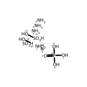 N.N.N.N.N.O=P(O)(O)O.O=S(=O)(O)O.O=S(=O)(O)O